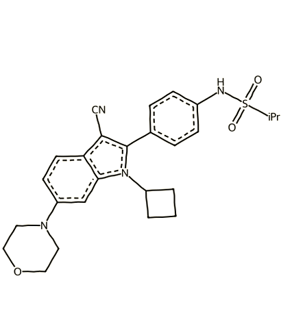 CC(C)S(=O)(=O)Nc1ccc(-c2c(C#N)c3ccc(N4CCOCC4)cc3n2C2CCC2)cc1